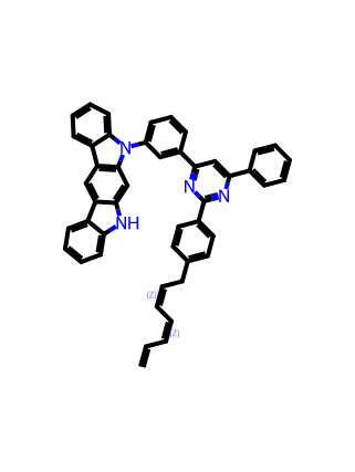 C=C/C=C\C=C/Cc1ccc(-c2nc(-c3ccccc3)cc(-c3cccc(-n4c5ccccc5c5cc6c(cc54)[nH]c4ccccc46)c3)n2)cc1